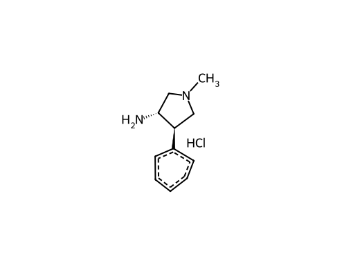 CN1C[C@@H](N)[C@H](c2ccccc2)C1.Cl